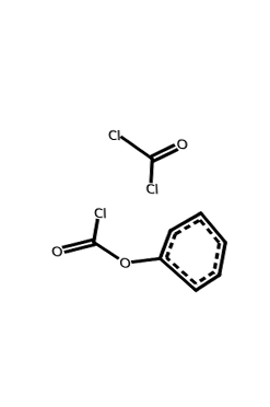 O=C(Cl)Cl.O=C(Cl)Oc1ccccc1